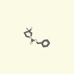 C[C@]1(F)CCN(C(=O)OCc2ccccc2)C1